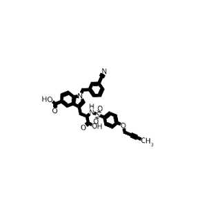 CC#CCOc1ccc(S(=O)(=O)NC(Cc2cn(Cc3cccc(C#N)c3)c3ccc(C(=O)O)cc23)C(=O)O)cc1